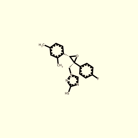 Cc1ccc([C@@H]2O[C@@]2(Cn2cnc(S)n2)c2ccc(F)cc2)c(C)c1